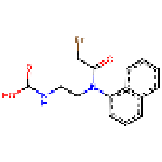 O=C(O)NCCN(C(=O)CBr)c1cccc2ccccc12